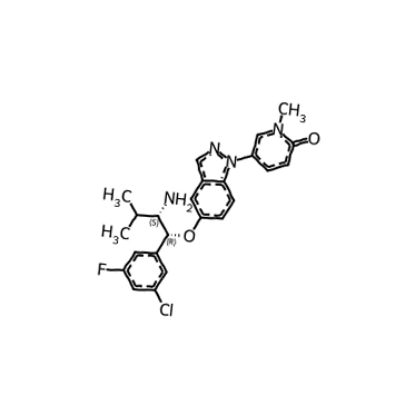 CC(C)[C@H](N)[C@H](Oc1ccc2c(cnn2-c2ccc(=O)n(C)c2)c1)c1cc(F)cc(Cl)c1